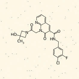 CC1(O)CN(C(=O)Cn2c(=O)c(C(=O)NCc3ccc(Cl)c(F)c3)cc3cccnc32)C1